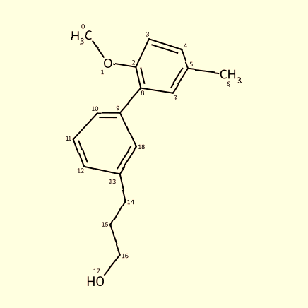 COc1ccc(C)cc1-c1cccc(CCCO)c1